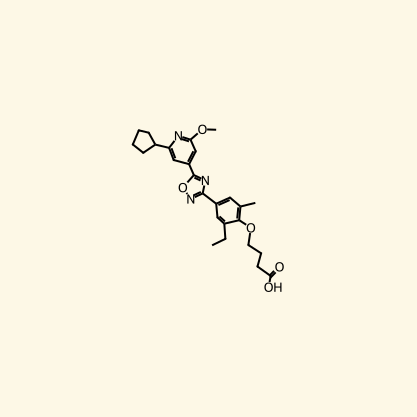 CCc1cc(-c2noc(-c3cc(OC)nc(C4CCCC4)c3)n2)cc(C)c1OCCCC(=O)O